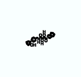 O=C(NCC1CCN(c2ccccc2O)CC1)[C@H](O)[C@@H](O)C(=O)N1Cc2ccccc2C1